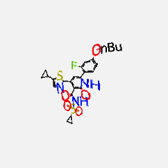 CCCCOc1ccc(-c2cc(-c3ncc(C4CC4)s3)c(C(=O)NS(=O)(=O)C3CC3)c(=O)[nH]2)c(F)c1